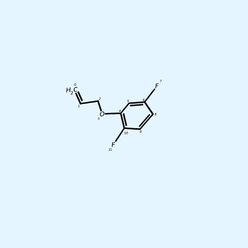 C=CCOc1cc(F)[c]cc1F